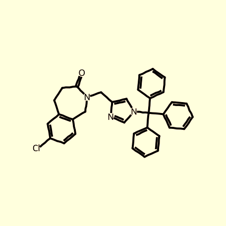 O=C1CCc2cc(Cl)ccc2CN1Cc1cn(C(c2ccccc2)(c2ccccc2)c2ccccc2)cn1